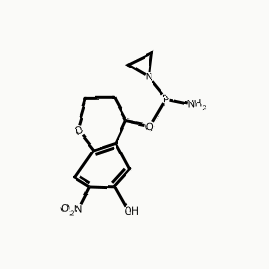 NP(OC1CCOc2cc([N+](=O)[O-])c(O)cc21)N1CC1